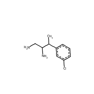 CC(c1cccc(Cl)c1)C(N)CN